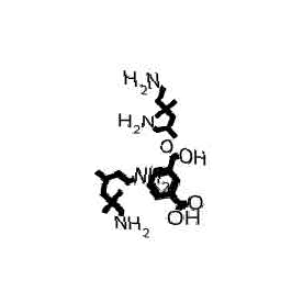 CC(CCN)CC(C)(C)CN.CC(CN)CC(C)(C)CCN.O=C(O)c1cccc(C(=O)O)c1